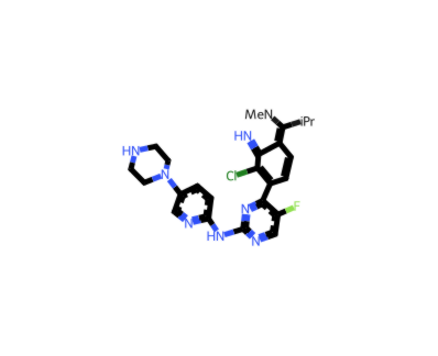 CN/C(=C1/C=CC(c2nc(Nc3ccc(N4CCNCC4)cn3)ncc2F)=C(Cl)C1=N)C(C)C